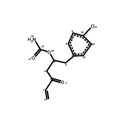 C=CC(=O)CC(Cc1ccc(Cl)cc1)OC(N)=O